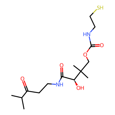 CC(C)C(=O)CCNC(=O)[C@H](O)C(C)(C)COC(=O)NCCS